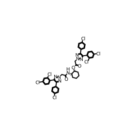 O=C(Cn1nc(-c2ccc(Cl)cc2)c(-c2ccc(Cl)cc2Cl)n1)N[C@H]1CCCC[C@@H]1OC(=O)Cn1nc(-c2ccc(Cl)cc2)c(-c2ccc(Cl)cc2Cl)n1